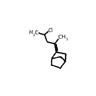 CC(CC(C)Cl)=C1CC2CCC1C2